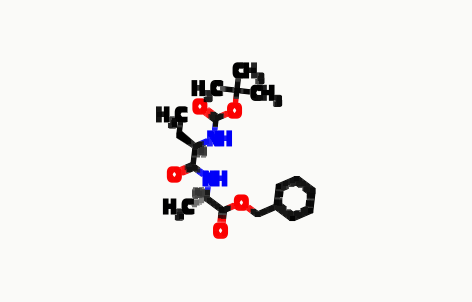 CC[C@@H](NC(=O)OC(C)(C)C)C(=O)N[C@@H](C)C(=O)OCc1ccccc1